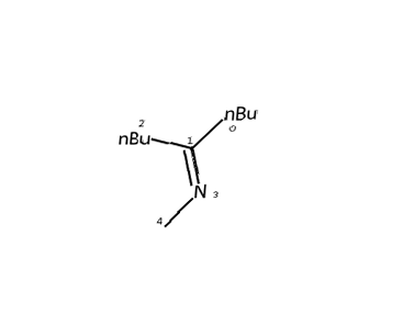 CCCCC(CCCC)=NC